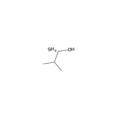 CC(C)CO.[SiH4]